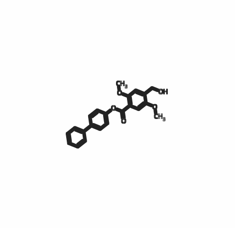 COc1cc(C(=O)Oc2ccc(-c3ccccc3)cc2)c(OC)cc1CO